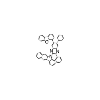 c1ccc(-c2cc3nc(-c4ccccc4)c(-n4c5ccccc5c5cc6ccccc6cc54)nc3cc2-c2cccc3c2oc2ccccc23)cc1